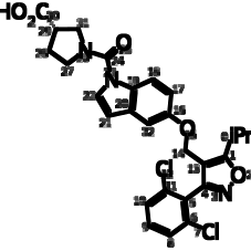 CC(C)c1onc(-c2c(Cl)cccc2Cl)c1COc1ccc2c(ccn2C(=O)N2CC[C@H](C(=O)O)C2)c1